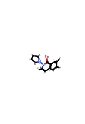 Cc1cc2c(cc1C)C(=O)N(N1CCCC1)C(C)C2